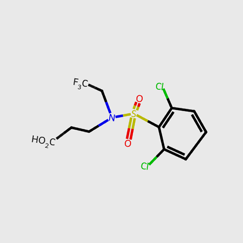 O=C(O)CCN(CC(F)(F)F)S(=O)(=O)c1c(Cl)cccc1Cl